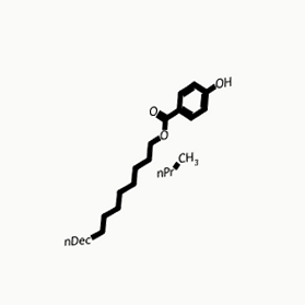 CCCC.CCCCCCCCCCCCCCCCCCOC(=O)c1ccc(O)cc1